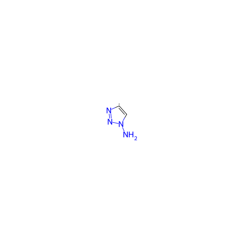 Nn1c[c]nn1